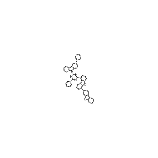 c1ccc(-c2ccc3c(c2)c2ccccc2n3-c2nc(-c3ccccc3)nc(-c3cccc4oc5c(-c6ccc7c(c6)oc6ccccc67)cccc5c34)n2)cc1